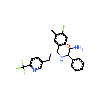 Cc1cc([C@@H](CCc2ccc(C(F)(F)F)nc2)NC(C(N)=O)c2ccccc2)ccc1F